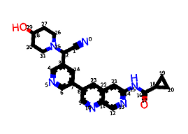 N#CC(c1cncc(-c2cnc3cnc(NC(=O)C4CC4)cc3c2)c1)N1CCC(O)CC1